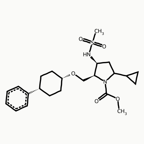 COC(=O)N1C(C2CC2)C[C@H](NS(C)(=O)=O)[C@@H]1CO[C@H]1CC[C@@H](c2ccccc2)CC1